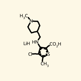 Cc1sc(C(=O)O)c(NCC2CCN(C)CC2)c1Cl.[LiH]